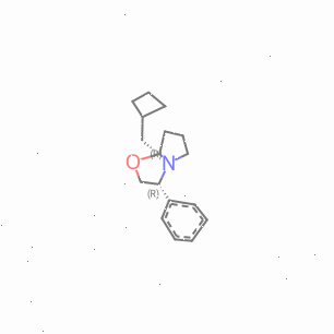 c1ccc([C@@H]2CO[C@@]3(CC4CCC4)CCCN23)cc1